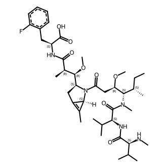 CC[C@H](C)[C@@H]([C@@H](CC(=O)N1[C@H]2C(C)=C2C[C@H]1[C@H](OC)[C@@H](C)C(=O)N[C@@H](Cc1ccccc1F)C(=O)O)OC)N(C)C(=O)[C@@H](NC(=O)[C@@H](NC)C(C)C)C(C)C